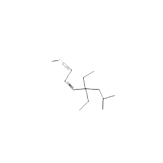 CCC(/C=C\C=N/C)(CC)CC(C)C